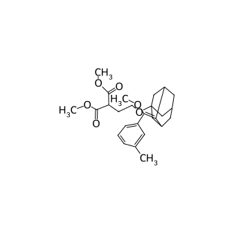 COC(=O)C(CCOC12CC3CC(C1)C(=C(OC)c1cccc(C)c1)C(C3)C2)C(=O)OC